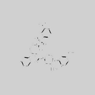 Cc1ccc(C)c(N2CCN(C(=O)[C@H]3CN(S(=O)(=O)c4cccc(Cl)c4)CC[C@@H]3c3ccccc3)CC2)c1